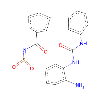 Nc1ccccc1NC(=O)Nc1ccccc1.O=C(N=S(=O)=O)c1ccccc1